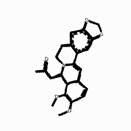 COC1=C(OC)C2C(C=C1)C=C1c3cc4c(cc3CCN1C2CC(C)=O)OCO4